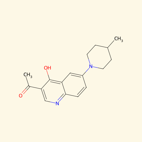 CC(=O)c1cnc2ccc(N3CCC(C)CC3)cc2c1O